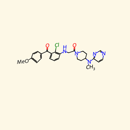 COc1ccc(C(=O)c2cccc(NCC(=O)N3CCC(N(C)c4ccncn4)CC3)c2Cl)cc1